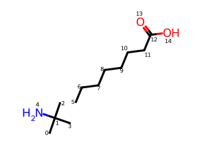 CC(C)(C)N.CCCCCCCC(=O)O